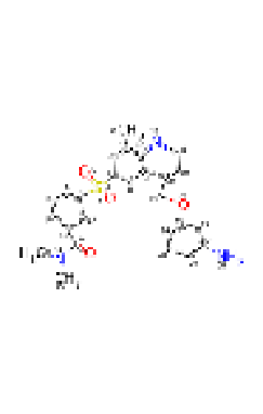 Cc1cc(S(=O)(=O)c2cccc(C(=O)N(C)C)c2)cc2c(COc3cccc(N)c3)ccnc12